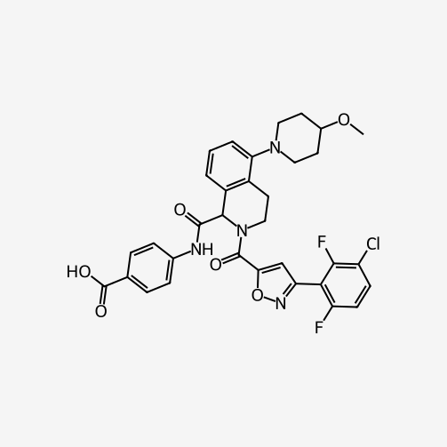 COC1CCN(c2cccc3c2CCN(C(=O)c2cc(-c4c(F)ccc(Cl)c4F)no2)C3C(=O)Nc2ccc(C(=O)O)cc2)CC1